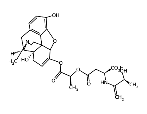 C=C(N[C@@H](CC(=O)O[C@@H](C)C(=O)OC1=CC[C@@]2(O)[C@H]3Cc4ccc(O)c5c4C2(CCN3C)C1O5)C(=O)O)[C@H](C)O